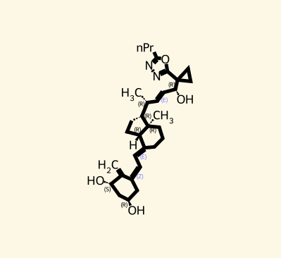 C=C1/C(=C\C=C2/CCC[C@]3(C)[C@@H]([C@H](C)/C=C/[C@@H](O)C4(c5nnc(CCC)o5)CC4)CC[C@@H]23)C[C@@H](O)C[C@@H]1O